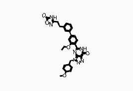 CCOc1cc(-c2cccc(CCc3noc(=O)[nH]3)c2)ccc1-c1nc2c(nnn2Cc2ccc(OC)cc2)c(=O)[nH]1